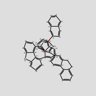 c1ccc2c(c1)CCc1cc(-c3nc(-c4ccc5ccccc5c4)nc(-c4cccc5oc6cccc(-c7cccc8ccccc78)c6c45)n3)ccc1-2